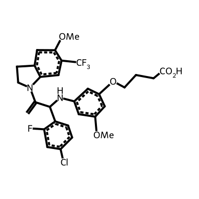 C=C(C(Nc1cc(OC)cc(OCCCC(=O)O)c1)c1ccc(Cl)cc1F)N1CCc2cc(OC)c(C(F)(F)F)cc21